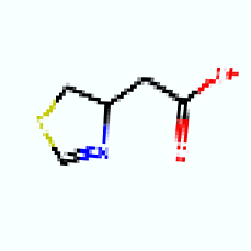 O=C(O)CC1CSC=N1